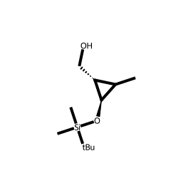 CC1[C@@H](CO)[C@@H]1O[Si](C)(C)C(C)(C)C